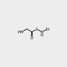 CCNSC(=O)C[NH]